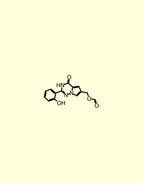 O=COCc1cc2c(=O)[nH]c(-c3ccccc3O)nn2c1